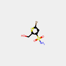 NS(=O)(=O)c1cc(Br)sc1CO